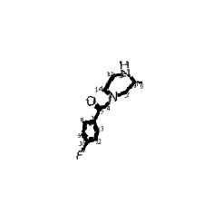 C[C@H]1CN(CC(=O)c2ccc(F)cc2)CCN1